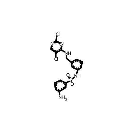 Nc1cccc(S(=O)(=O)Nc2cccc(CNc3nc(Cl)ncc3Cl)c2)c1